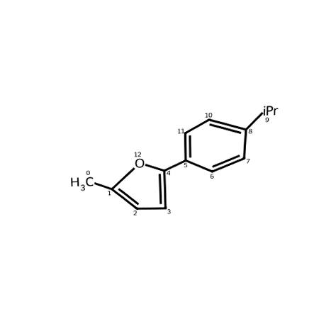 Cc1ccc(-c2ccc(C(C)C)cc2)o1